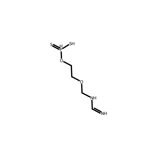 N=CNCOCCO[PH](=S)S